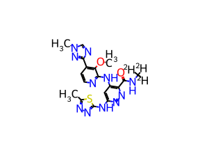 [2H]C([2H])([2H])NC(=O)c1nnc(Nc2nnc(C)s2)cc1Nc1nccc(-c2ncn(C)n2)c1OC